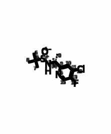 C[C@@H](N[S+]([O-])C(C)(C)C)c1cc(Cl)c(F)cn1